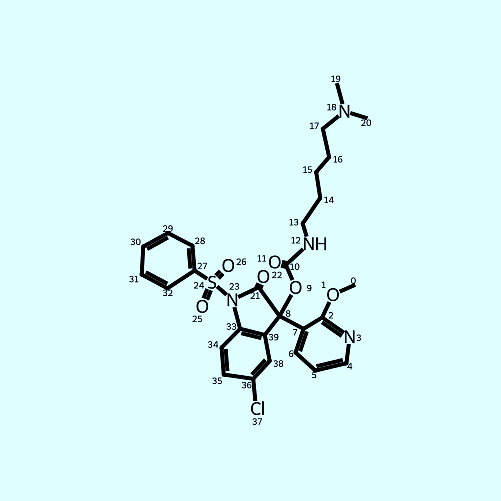 COc1ncccc1C1(OC(=O)NCCCCCN(C)C)C(=O)N(S(=O)(=O)c2ccccc2)c2ccc(Cl)cc21